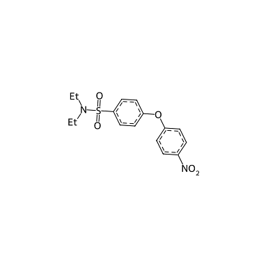 CCN(CC)S(=O)(=O)c1ccc(Oc2ccc([N+](=O)[O-])cc2)cc1